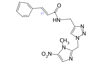 Cn1c([N+](=O)[O-])cnc1Cn1cc(CNC(=O)/C=C/c2ccccc2)nn1